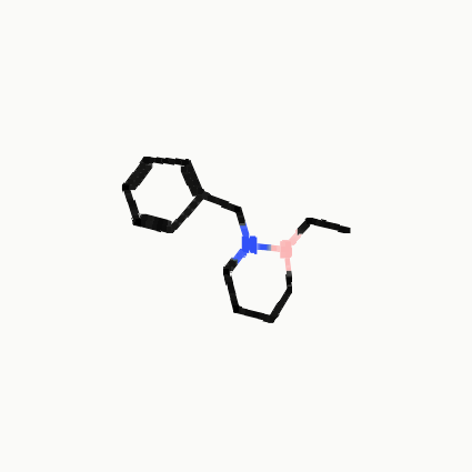 CCB1CCCCN1Cc1ccccc1